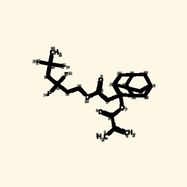 C=C(C)C(=O)OC1(CC(=O)OCCC(F)(F)CC(C)(F)F)C2CC3CC(C2)CC1C3